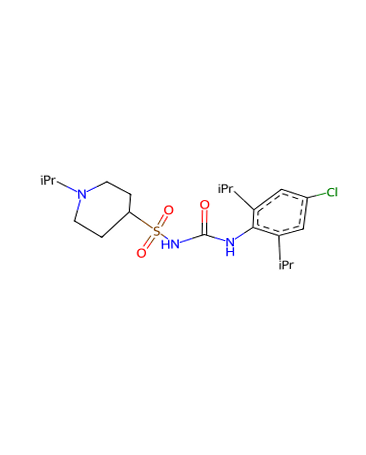 CC(C)c1cc(Cl)cc(C(C)C)c1NC(=O)NS(=O)(=O)C1CCN(C(C)C)CC1